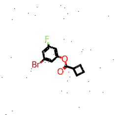 O=C(Oc1cc(F)cc(Br)c1)C1CCC1